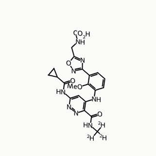 [2H]C([2H])([2H])NC(=O)c1nnc(NC(=O)C2CC2)cc1Nc1cccc(-c2noc(CNC(=O)O)n2)c1OC